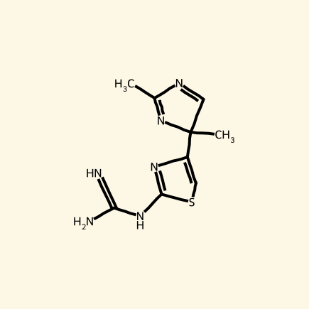 CC1=NC(C)(c2csc(NC(=N)N)n2)C=N1